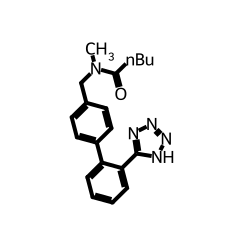 CCCCC(=O)N(C)Cc1ccc(-c2ccccc2-c2nnn[nH]2)cc1